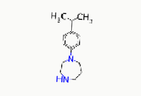 CC(C)c1ccc(N2CCCNCC2)cc1